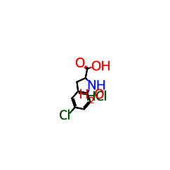 Cl.O.O=C(O)C1Cc2cc(Cl)ccc2N1